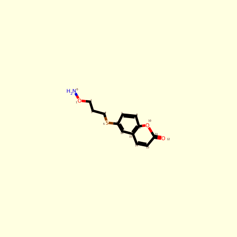 NOCCCSc1ccc2oc(=O)ccc2c1